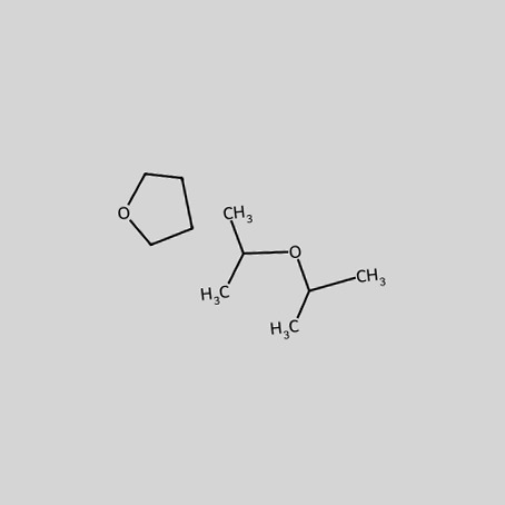 C1CCOC1.CC(C)OC(C)C